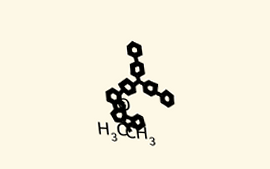 CC1(C)c2ccccc2-c2c1ccc1c2oc2c(-c3ccc(C(c4ccc(-c5ccccc5)cc4)c4ccc(-c5ccccc5)cc4)cc3)cccc21